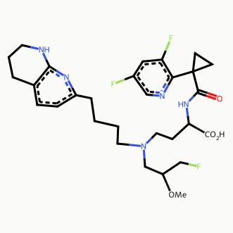 COC(CF)CN(CCCCc1ccc2c(n1)NCCC2)CCC(NC(=O)C1(c2ncc(F)cc2F)CC1)C(=O)O